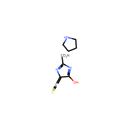 C1CCNC1.O=C(O)C1=NC(=C=S)C(O)=N1